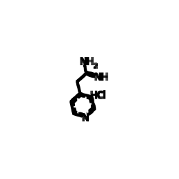 Cl.N=C(N)Cc1ccncc1